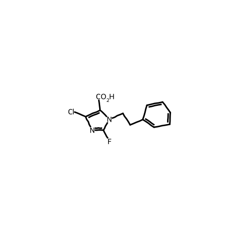 O=C(O)c1c(Cl)nc(F)n1CCc1ccccc1